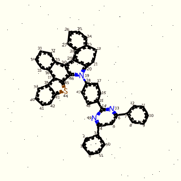 c1ccc(-c2cc(-c3ccccc3)nc(-c3ccc(-n4c5ccc6ccccc6c5c5c6ccccc6c6c7ccccc7sc6c54)cc3)n2)cc1